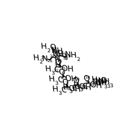 CC(=O)O.CC(=O)O.CC(=O)O.CC(=O)O.CC(=O)O.N.N.N.N.N.NCCNCCN.O.O